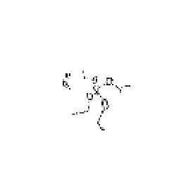 CCO[Si](OCC)(OCC)OCC.[B].[P]